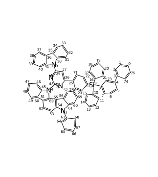 c1ccc(-c2cccc([Si](c3ccccc3)(c3ccccc3)c3ccc(-c4cc(-n5c6ccccc6c6ccccc65)nc(-n5c6ccccc6c6ccc7c(c8ccccc8n7-c7ccccc7)c65)n4)cc3)c2)cc1